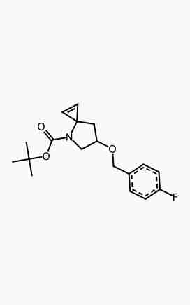 CC(C)(C)OC(=O)N1CC(OCc2ccc(F)cc2)CC12C=C2